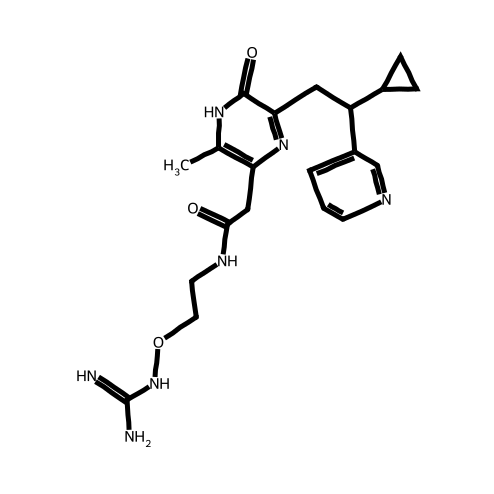 Cc1[nH]c(=O)c(CC(c2cccnc2)C2CC2)nc1CC(=O)NCCONC(=N)N